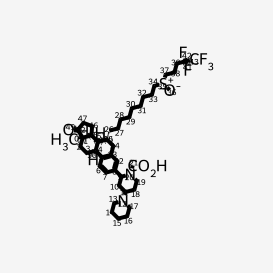 C[C@]12CC[C@@H]3c4ccc(C5CC(N6CCCCC6)CCN5C(=O)O)cc4C[C@@H](CCCCCCCCC[S+]([O-])CCCC(F)(F)C(F)(F)F)[C@H]3[C@@H]1CCC2=O